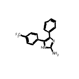 Nc1nc(-c2ccccc2)c(-c2ccc(C(F)(F)F)cc2)[nH]1